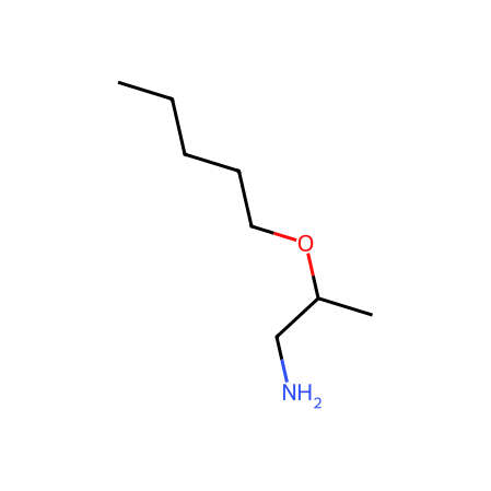 CCCCCOC(C)CN